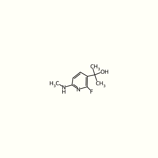 CNc1ccc(C(C)(C)O)c(F)n1